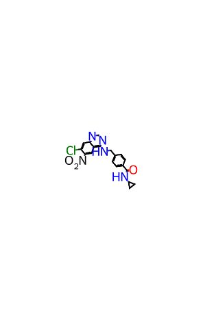 O=C(NC1CC1)c1ccc(CNc2ncnc3cc(Cl)c([N+](=O)[O-])cc23)cc1